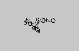 CS(=O)(=O)c1ccc(-c2nc3cnccn3c2NCC(=O)N2CCN(CCC3CCCCC3)CC2)cc1